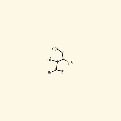 CC(C[N+](=O)[O-])C(O)C(Br)Br